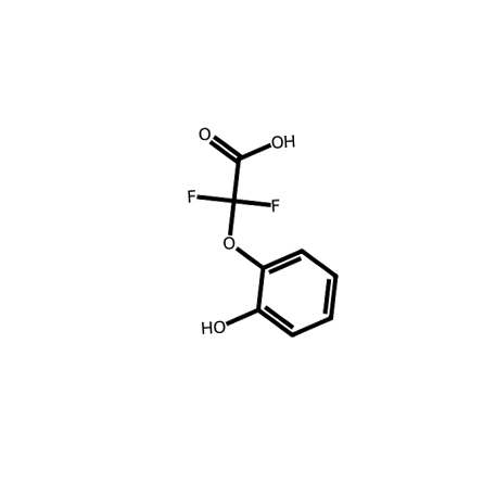 O=C(O)C(F)(F)Oc1ccccc1O